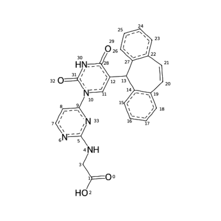 O=C(O)CNc1nccc(-n2cc(C3c4ccccc4C=Cc4ccccc43)c(=O)[nH]c2=O)n1